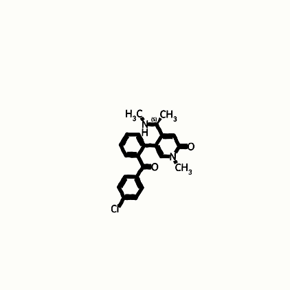 CN[C@@H](C)c1cc(=O)n(C)cc1-c1ccccc1C(=O)c1ccc(Cl)cc1